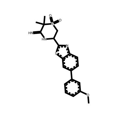 COc1cccc(-c2ccc3nc(C4CS(=O)(=O)C(C)(C)C(=N)N4)sc3c2)c1